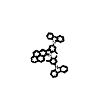 Cc1cc(N2c3ccccc3C3C=CC=CC32)cc(C)c1-n1c2c(C)cc(-n3c4ccccc4c4ccccc43)cc2c2cc3ccc4cccc5ccc(c3c45)c21